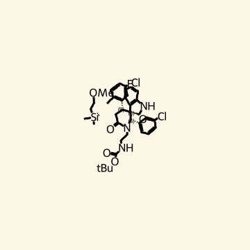 COCC[Si](C)(C)C.Cc1ccc(F)cc1[C@H]1CC(=O)N(CCNC(=O)OC(C)(C)C)[C@@H](c2cccc(Cl)c2)[C@]12C(=O)Nc1cc(Cl)ccc12